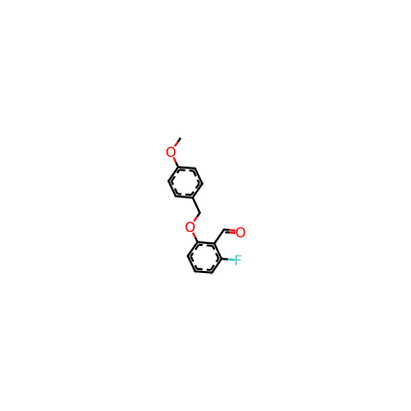 COc1ccc(COc2cccc(F)c2C=O)cc1